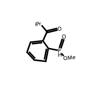 CO[PH](=O)c1ccccc1C(=O)C(C)C